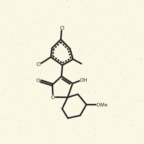 COC1CCCC2(C1)OC(=O)C(c1c(C)cc(Cl)cc1Cl)=C2O